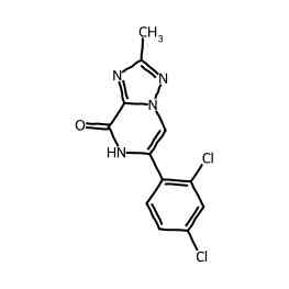 Cc1nc2c(=O)[nH]c(-c3ccc(Cl)cc3Cl)cn2n1